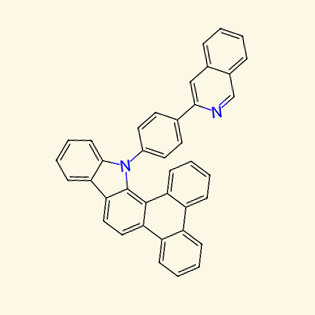 c1ccc2cc(-c3ccc(-n4c5ccccc5c5ccc6c7ccccc7c7ccccc7c6c54)cc3)ncc2c1